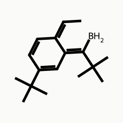 B/C(=c1/cc(C(C)(C)C)cc/c1=C/C)C(C)(C)C